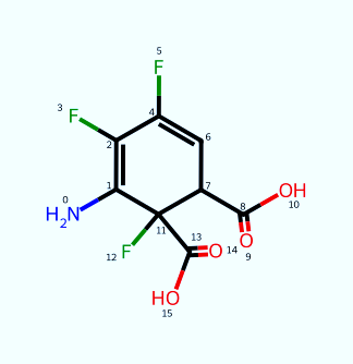 NC1=C(F)C(F)=CC(C(=O)O)C1(F)C(=O)O